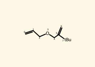 C=CCOCC(=C)C(C)(C)C